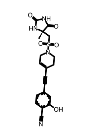 C[C@@]1(CS(=O)(=O)N2CC=C(C#Cc3ccc(C#N)c(O)c3)CC2)NC(=O)NC1=O